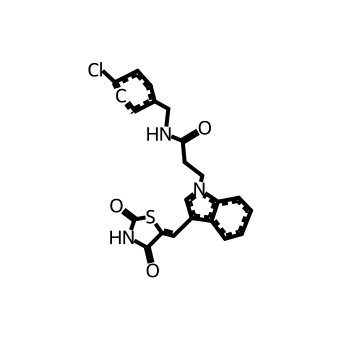 O=C(CCn1cc(/C=C2\SC(=O)NC2=O)c2ccccc21)NCc1ccc(Cl)cc1